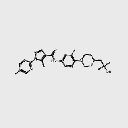 Cc1ccc(-n2ncc(C(=O)Nc3cnc(N4CCC(CC(C)(C)O)CC4)c(C)c3)c2C)nc1